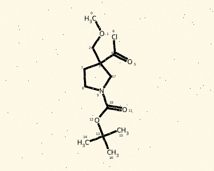 COCC1(C(=O)Cl)CCN(C(=O)OC(C)(C)C)C1